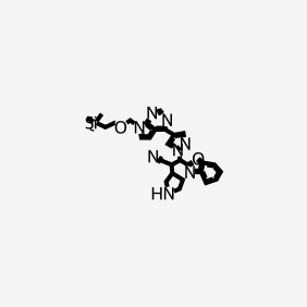 C[Si](C)(C)CCOCn1ccc2c(-c3cnn(C(c4nc5ccccc5o4)C(C#N)C4CCNC4)c3)ncnc21